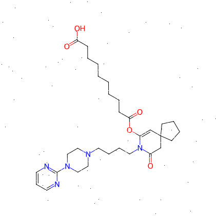 O=C(O)CCCCCCCCC(=O)OC1=CC2(CCCC2)CC(=O)N1CCCCN1CCN(c2ncccn2)CC1